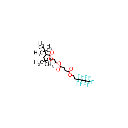 CCC(C)(C)C(CC(C)(C)C)C(=O)OCCOC(=O)CCC(=O)OCCC(F)(F)C(F)(F)C(F)(F)C(F)(F)F